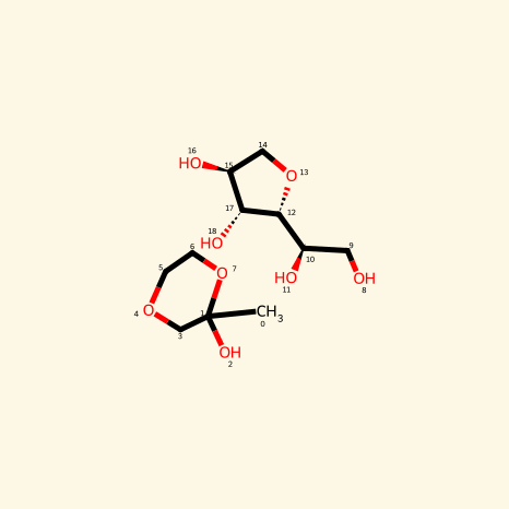 CC1(O)COCCO1.OC[C@@H](O)[C@H]1OC[C@H](O)[C@H]1O